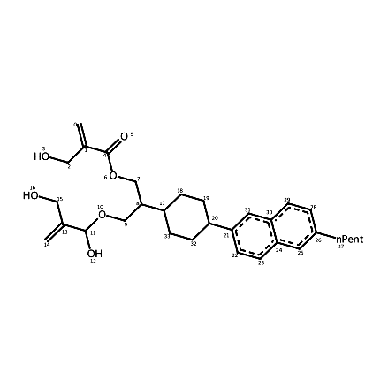 C=C(CO)C(=O)OCC(COC(O)C(=C)CO)C1CCC(c2ccc3cc(CCCCC)ccc3c2)CC1